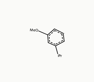 COc1c[c]cc(C(C)C)c1